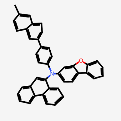 Cc1ccc2cc(-c3ccc(N(c4ccc5c(c4)oc4ccccc45)c4cc5ccccc5c5ccccc45)cc3)ccc2c1